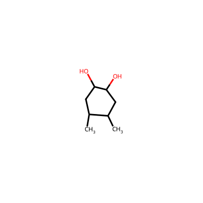 CC1CC(O)C(O)CC1C